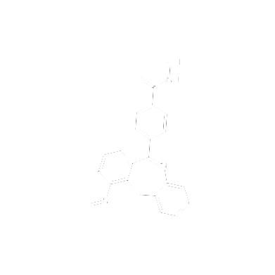 O=Nc1cccc2c1Oc1ccccc1N=C2c1ccc(C(=O)NO)cc1